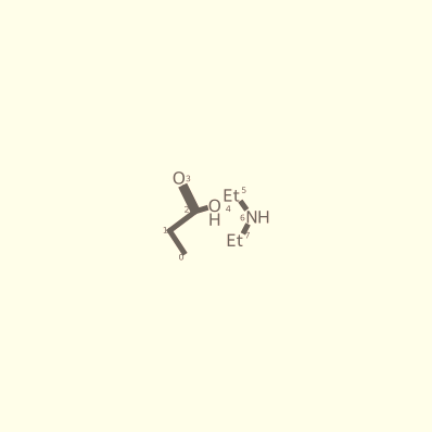 CCC(=O)O.CCNCC